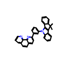 CC1(C)c2ccccc2-c2c1c1ccccc1n2-c1cccc(-c2ccc3ccc4cccnc4c3n2)c1